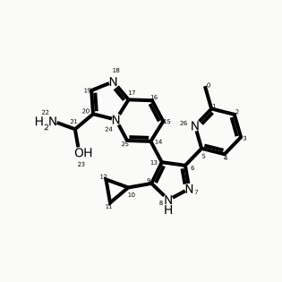 Cc1cccc(-c2n[nH]c(C3CC3)c2-c2ccc3ncc(C(N)O)n3c2)n1